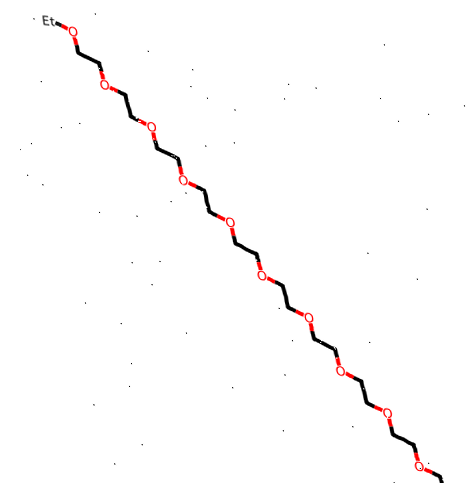 CCOCCOCCOCCOCCOCCOCCOCCOCCOCCOCCC(=O)O